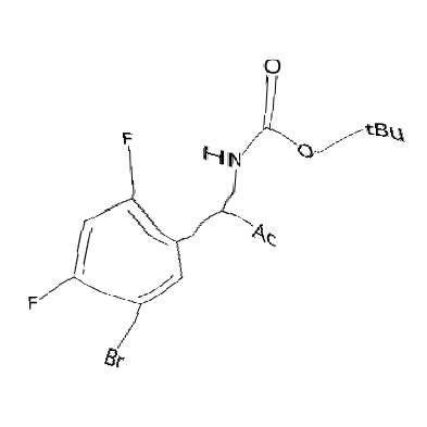 CC(=O)C(NC(=O)OC(C)(C)C)c1cc(Br)c(F)cc1F